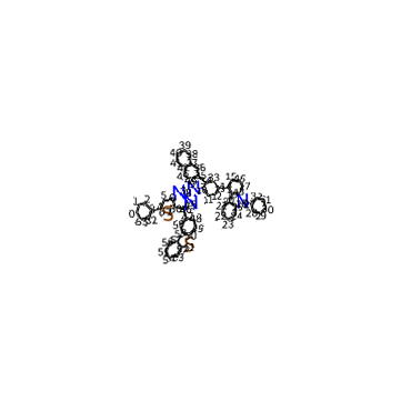 c1ccc(-c2cc3nc(-n4c5ccc(-c6cccc7c6c6ccccc6n7-c6ccccc6)cc5c5cc6ccccc6cc54)nc(-c4ccc5sc6ccccc6c5c4)c3s2)cc1